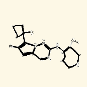 CCC1(c2c(C#N)cc3cnc(N[C@@H]4CCOC[C@H]4OC(C)=O)nn23)CCC1